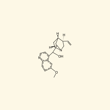 C=C[C@H]1CN2CC[C@H]1C[C@H]2C(O)c1ccnc2ccc(OC)cc12